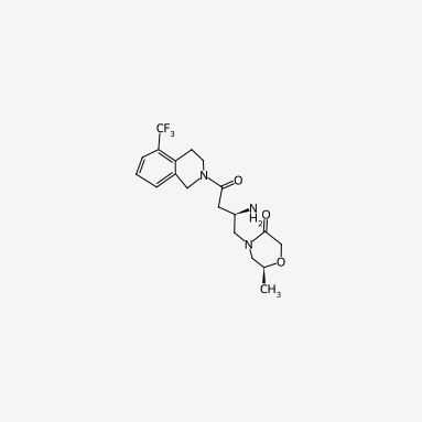 C[C@H]1CN(C[C@H](N)CC(=O)N2CCc3c(cccc3C(F)(F)F)C2)C(=O)CO1